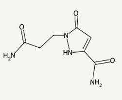 NC(=O)CCn1[nH]c(C(N)=O)cc1=O